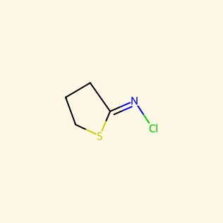 Cl/N=C1/CCCS1